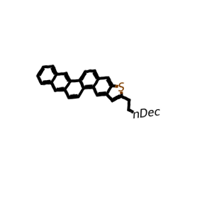 CCCCCCCCCCCCc1cc2cc3c(ccc4c5cc6ccccc6cc5ccc34)cc2s1